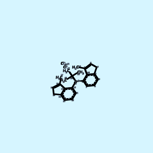 CC1=CCc2ccc[c]([Zr+2]([c]3cccc4c3C(C)=CC4)[C](C)(C)C)c21.[Cl-].[Cl-]